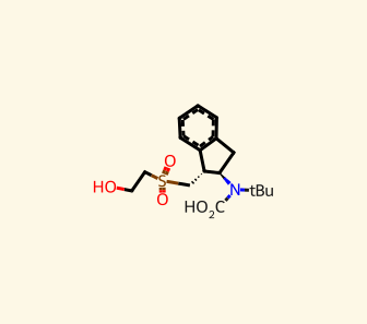 CC(C)(C)N(C(=O)O)[C@@H]1Cc2ccccc2[C@H]1CS(=O)(=O)CCO